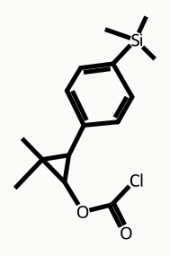 CC1(C)C(OC(=O)Cl)C1c1ccc([Si](C)(C)C)cc1